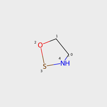 [CH]1COSN1